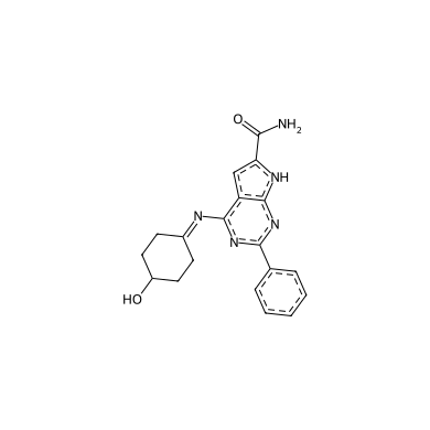 NC(=O)c1cc2c(N=C3CCC(O)CC3)nc(-c3ccccc3)nc2[nH]1